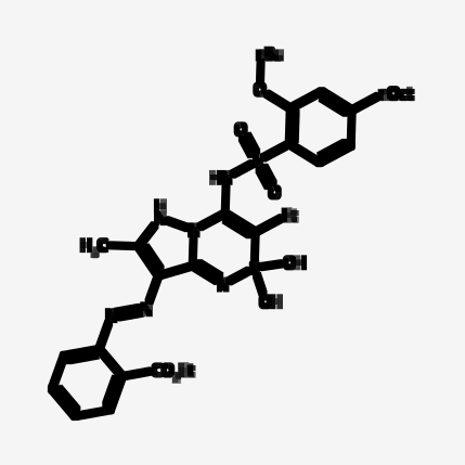 CCCCCCCCc1ccc(S(=O)(=O)NC2=C(CC)S(O)(O)N=C3C(N=Nc4ccccc4C(=O)OCC)=C(C)NN32)c(OCCCC)c1